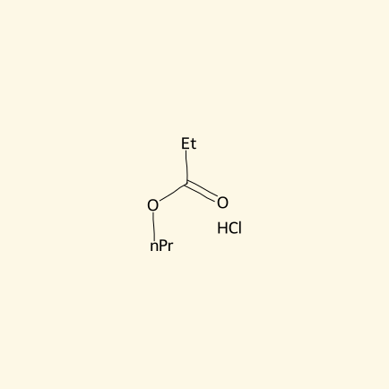 CCCOC(=O)CC.Cl